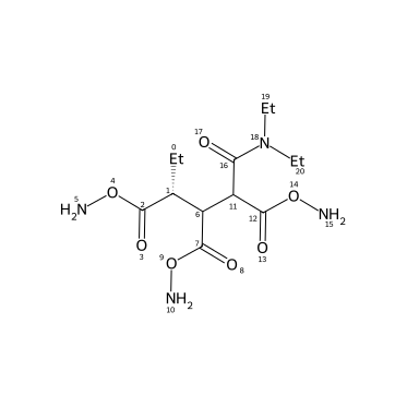 CC[C@@H](C(=O)ON)C(C(=O)ON)C(C(=O)ON)C(=O)N(CC)CC